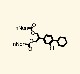 CCCCCCCCCC(=O)OCC(COC(=O)CCCCCCCCC)c1ccc(C2CCCCC2)c(Cl)c1